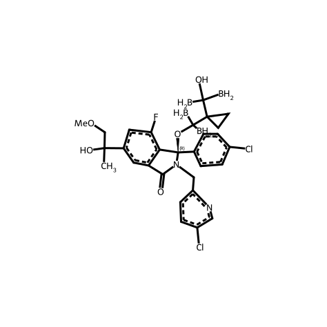 BC(B)(O)C1(C(B)(B)O[C@]2(c3ccc(Cl)cc3)c3c(F)cc(C(C)(O)COC)cc3C(=O)N2Cc2ccc(Cl)cn2)CC1